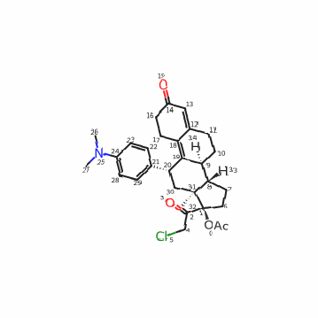 CC(=O)O[C@]1(C(=O)CCl)CC[C@H]2[C@@H]3CCC4=CC(=O)CCC4=C3[C@@H](c3ccc(N(C)C)cc3)C[C@@]21C